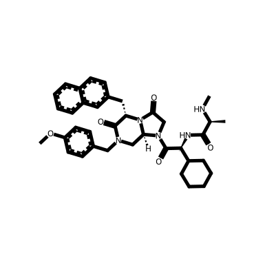 CN[C@@H](C)C(=O)N[C@H](C(=O)N1CC(=O)N2[C@@H]1CN(Cc1ccc(OC)cc1)C(=O)[C@@H]2Cc1ccc2ccccc2c1)C1CCCCC1